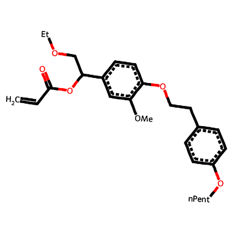 C=CC(=O)OC(COCC)c1ccc(OCCc2ccc(OCCCCC)cc2)c(OC)c1